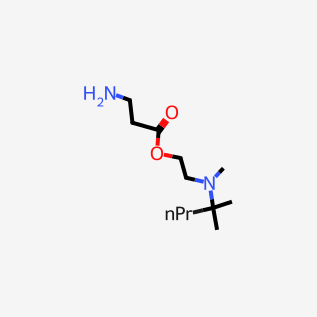 CCCC(C)(C)N(C)CCOC(=O)CCN